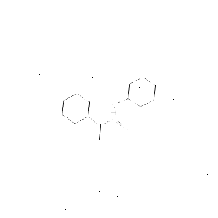 CC(C1CCCCC1)[PH](=O)OC1CCCCC1